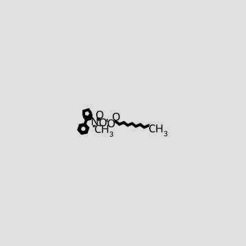 CCCCCCCCCC(=O)OCOC(=O)N(CC)C1C2CCC(C2)C1c1ccccc1